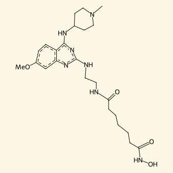 COc1ccc2c(NC3CCN(C)CC3)nc(NCCNC(=O)CCCCCC(=O)NO)nc2c1